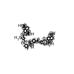 Cn1cc(NC(=O)c2ccc(F)c(NC(=O)Nc3cc(C(=O)Nc4cc(C(=O)Nc5ccc6c(S(=O)(=O)O)cccc6c5S(=O)(=O)O)n(C)c4)ccc3F)c2)cc1C(=O)Nc1ccc2c(S(=O)(=O)O)cccc2c1S(=O)(=O)O